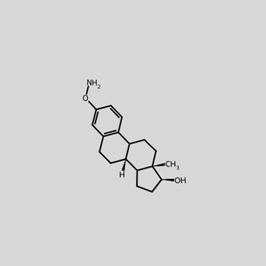 C[C@]12CCC3c4ccc(ON)cc4CC[C@H]3C1CC[C@@H]2O